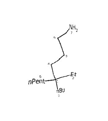 CCCCCC(CC)(CCCC)CCCN